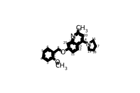 COc1ccccc1COc1ccc2c(N3CCCC3)cc(C)nc2c1